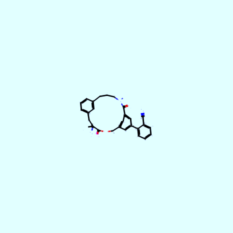 CN1CCCc2cccc(c2)CC(C)(N)C(=O)OCc2cc(cc(-c3ccccc3C#N)c2)C1=O